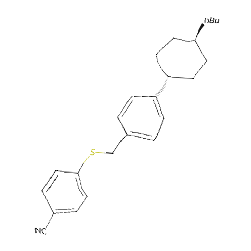 CCCC[C@H]1CC[C@H](c2ccc(CSc3ccc(C#N)cc3)cc2)CC1